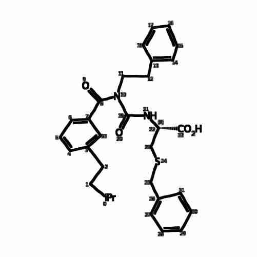 CC(C)CCc1cccc(C(=O)N(CCc2ccccc2)C(=O)N[C@@H](CSCc2ccccc2)C(=O)O)c1